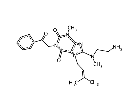 CC(C)=CCn1c(N(C)CCN)nc2c1c(=O)n(CC(=O)c1ccccc1)c(=O)n2C